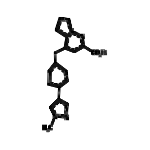 CCOC(=O)c1cc(Cc2ccc(-c3cnn(C)c3)cc2)c2cccn2n1